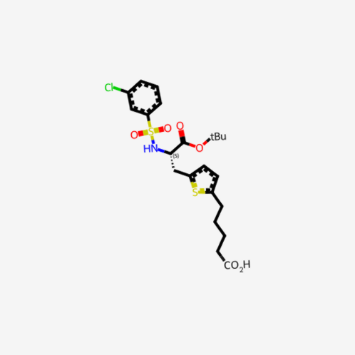 CC(C)(C)OC(=O)[C@H](Cc1ccc(CCCCC(=O)O)s1)NS(=O)(=O)c1cccc(Cl)c1